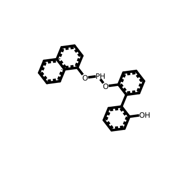 Oc1ccccc1-c1ccccc1OPOc1cccc2ccccc12